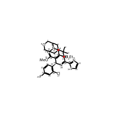 CCOC(=O)C(C)(C)N1CC2COCC(C1)N2CC1=C(C(=O)OC)[C@H](c2ccc(F)cc2Cl)N=C(c2nccs2)N1